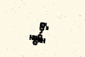 C=C(Nc1c[nH]c2ccc(CCc3ccc(C(F)(F)F)cc3)cc12)c1ccccc1